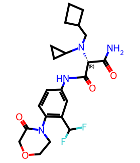 NC(=O)[C@H](C(=O)Nc1ccc(N2CCOCC2=O)c(C(F)F)c1)N(CC1CCC1)C1CC1